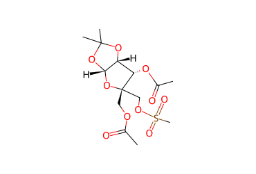 CC(=O)OC[C@@]1(COS(C)(=O)=O)O[C@@H]2OC(C)(C)O[C@@H]2[C@@H]1OC(C)=O